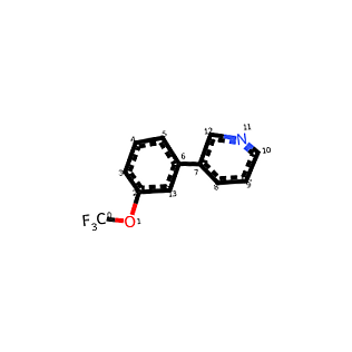 FC(F)(F)Oc1cccc(-c2c[c]cnc2)c1